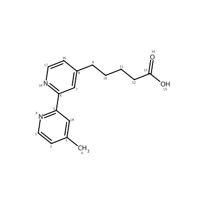 Cc1ccnc(-c2cc(CCCCC(=O)O)ccn2)c1